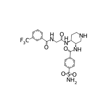 NS(=O)(=O)c1ccc(C(=O)N[C@@H]2CNCC[C@@H]2NC(=O)CNC(=O)c2cccc(C(F)(F)F)c2)cc1